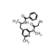 Cc1cc(CC(C)NC(=O)c2ccccc2)cc(N(C)C(=O)CC(C)C)n1